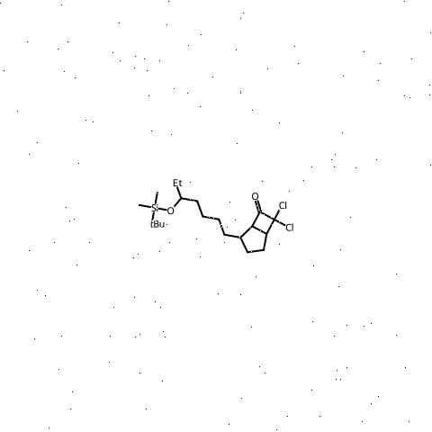 CCC(CCCCC1CCC2C1C(=O)C2(Cl)Cl)O[Si](C)(C)C(C)(C)C